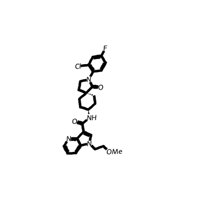 COCCn1cc(C(=O)N[C@H]2CC[C@@]3(CCN(c4ccc(F)cc4Cl)C3=O)CC2)c2ncccc21